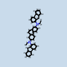 CCN(c1ccc2c(ccc3cc(N(CC)c4cccc5c4Cc4ccccc4-5)ccc32)c1)c1cccc2c1Cc1ccccc1-2